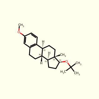 COc1ccc2c(c1)CC[C@@H]1[C@@H]2CC[C@]2(C)[C@@H](OC(C)(C)C)CC[C@@H]12